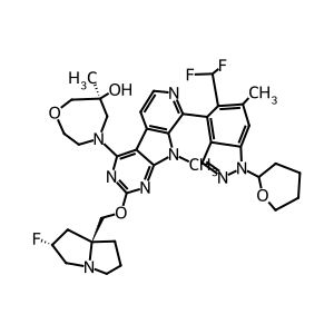 Cc1cc2c(cnn2C2CCCCO2)c(-c2nccc3c4c(N5CCOC[C@@](C)(O)C5)nc(OC[C@@]56CCCN5C[C@H](F)C6)nc4n(C)c23)c1C(F)F